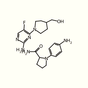 NC(=O)C1CCCN1c1ccc(N)cc1.Nc1ncc(F)c(N2CCC(CO)CC2)n1